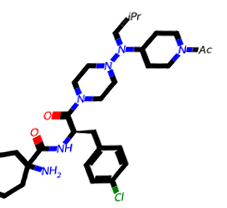 CC(=O)N1CCC(N(CC(C)C)N2CCN(C(=O)[C@@H](Cc3ccc(Cl)cc3)NC(=O)C3(N)CCCCCC3)CC2)CC1